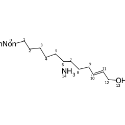 CCCCCCCCCCCCCCCCCC[C]=CCO.N